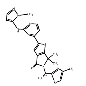 C[C@H](c1nc(C(F)(F)F)cs1)N1C(=O)c2cc(-c3ccnc(Nc4ccnn4C)n3)sc2C1(C)C